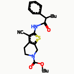 CCC(C)C(C(=O)Nc1sc2c(c1C#N)CCN(C(=O)OC(C)(C)C)C2)c1ccccc1